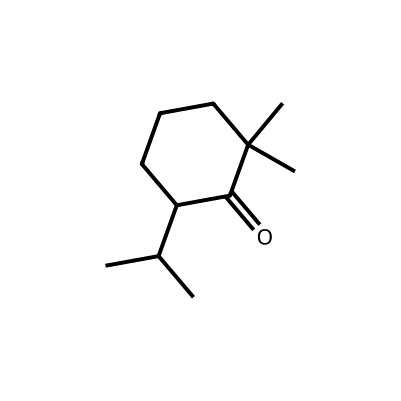 CC(C)C1CCCC(C)(C)C1=O